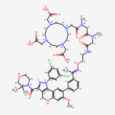 COc1cc2c(cc1-c1cccc(/C(C)=N/OCCNC(=O)CN(C)C(=O)CN(C)C(=O)CN3CCN(CC(=O)O)CCN(CC(=O)O)CCN(CC(=O)O)CC3)c1)-c1c(c(C(=O)N3CCOCC3(C)C)nn1-c1cc(Cl)cc(Cl)c1)CO2